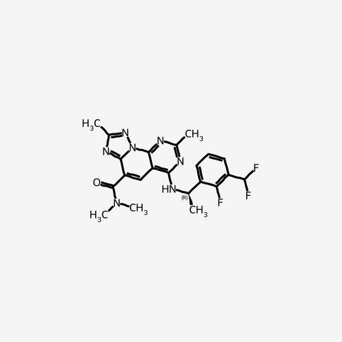 Cc1nc(N[C@H](C)c2cccc(C(F)F)c2F)c2cc(C(=O)N(C)C)c3nc(C)nn3c2n1